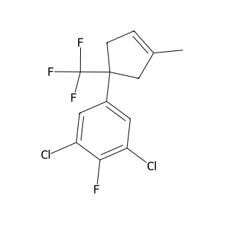 CC1=CCC(c2cc(Cl)c(F)c(Cl)c2)(C(F)(F)F)C1